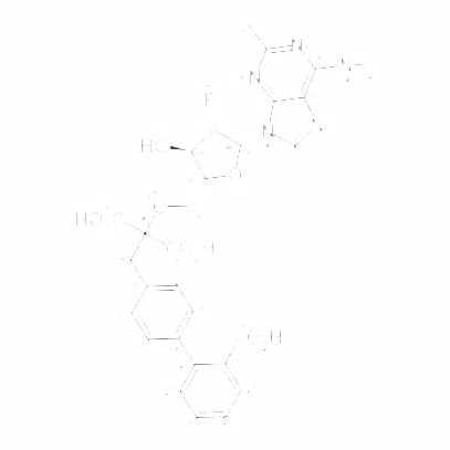 Cc1nc(N)c2ncn([C@@H]3O[C@H](COC(Cc4ccc(-c5ccccc5C(=O)O)cc4)(C(=O)O)C(=O)O)[C@@H](O)[C@@H]3F)c2n1